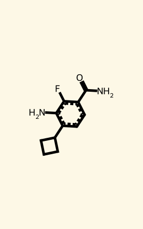 NC(=O)c1ccc(C2CCC2)c(N)c1F